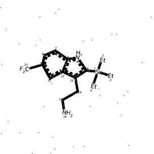 CC[Si](CC)(CC)c1[nH]c2ccc(C(F)(F)F)cc2c1CCN